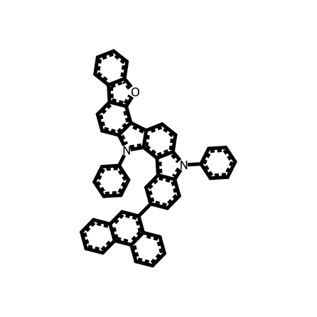 c1ccc(-n2c3ccc(-c4cc5ccccc5c5ccccc45)cc3c3c2ccc2c4c5oc6ccccc6c5ccc4n(-c4ccccc4)c23)cc1